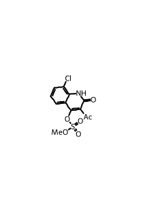 COS(=O)(=O)Oc1c(C(C)=O)c(=O)[nH]c2c(Cl)cccc12